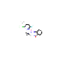 N#Cc1cc(F)c(NC2(CN3C(=O)c4ccccc4C3=O)CC2)nc1Cl